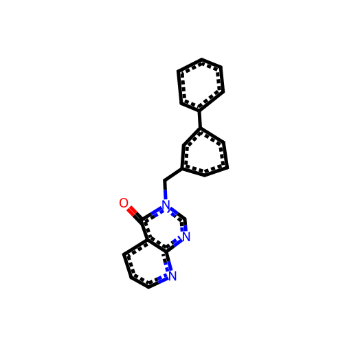 O=c1c2cccnc2ncn1Cc1cccc(-c2ccccc2)c1